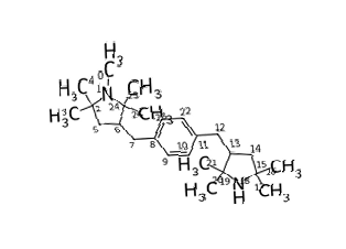 CN1C(C)(C)CC(Cc2ccc(CC3CC(C)(C)NC3(C)C)cc2)C1(C)C